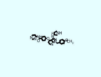 COc1ccc(Cn2nc(N[C@@H]3CCNC3)c3c(Oc4ccc(C(=O)Nc5ccncn5)cc4)ccnc32)cc1